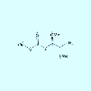 CN[C@@H](C)[C@@H](CC(=O)OC(C)(C)C)OC